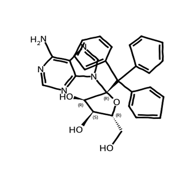 Nc1ncnc2c1ncn2[C@]1(C(c2ccccc2)(c2ccccc2)c2ccccc2)O[C@H](CO)[C@@H](O)[C@H]1O